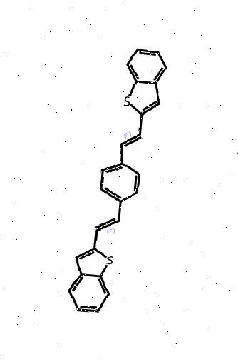 C(=C\c1cc2ccccc2s1)/c1ccc(/C=C/c2cc3ccccc3s2)cc1